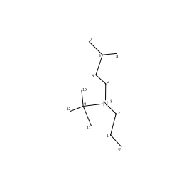 CCCN(CCC(C)C)C(C)(C)C